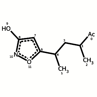 CC(=O)C(C)CC(C)c1cc(O)no1